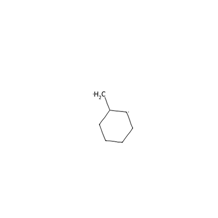 [CH2]C1[CH]CCCC1